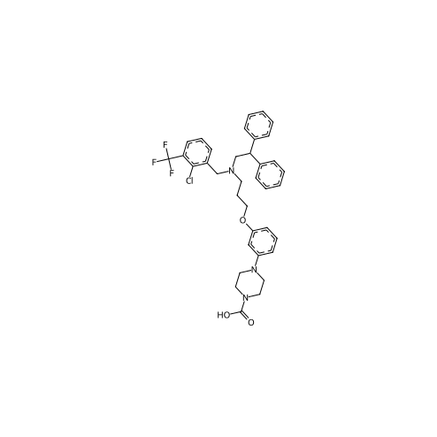 O=C(O)N1CCN(c2cccc(OCCCN(Cc3cccc(C(F)(F)F)c3Cl)CC(c3ccccc3)c3ccccc3)c2)CC1